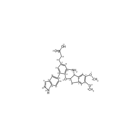 COc1cc2c(cc1OC)CC(Oc1c(N)cc(CCC(=O)O)cc1-c1ccc3[nH]ncc3c1)C2